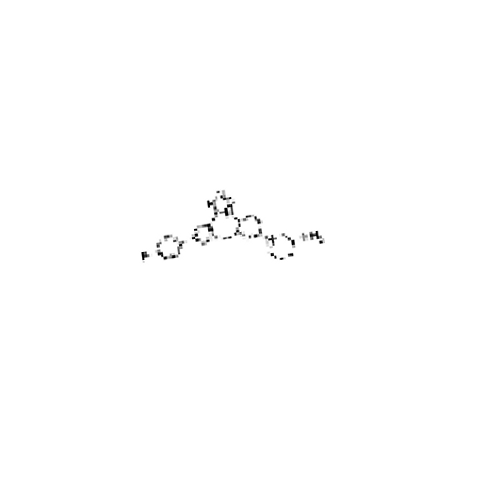 N[C@@H]1CCCN(c2ccc3c(c2)Cn2cc(-c4ccc(F)cc4)cc2-c2nnnn2-3)C1